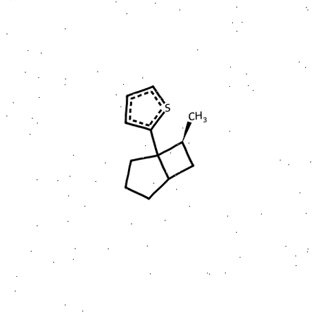 C[C@H]1CC2CCCC21c1cccs1